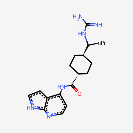 CCCC(NC(=N)N)[C@H]1CC[C@H](C(=O)Nc2ccnc3[nH]ccc23)CC1